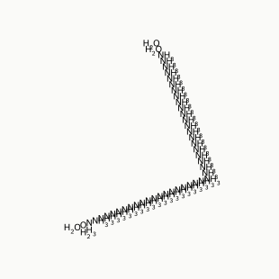 N.N.N.N.N.N.N.N.N.N.N.N.N.N.N.N.N.N.N.N.N.N.N.N.N.N.N.N.N.N.N.N.N.N.N.N.N.N.N.N.N.N.O.O.O.O